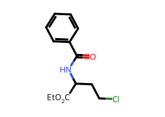 CCOC(=O)C(CCCl)NC(=O)c1ccccc1